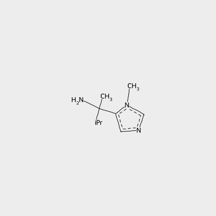 CC(C)C(C)(N)c1cncn1C